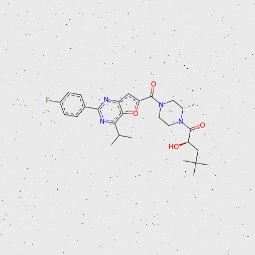 CC(C)c1nc(-c2ccc(F)cc2)nc2cc(C(=O)N3CCN(C(=O)[C@H](O)CC(C)(C)C)[C@@H](C)C3)oc12